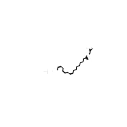 CC/C=C\C/C=C\C/C=C\CCCCCCCC(=O)OCC1CO1